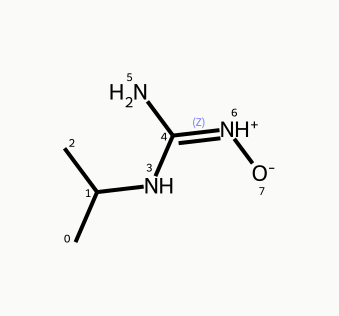 CC(C)N/C(N)=[NH+]\[O-]